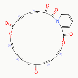 O=C1/C=C\C=C/OC(=O)C2=CC=CCN2C(=O)C(=O)/C=C\C=C/C(=O)O/C=C\C=C/C1